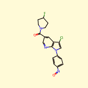 O=Nc1ccc(-n2cc(Cl)c3cc(C(=O)N4CCC(F)CC4)cnc32)cc1